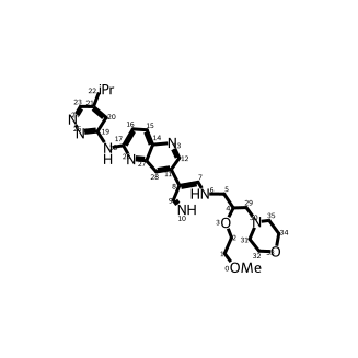 COCCOC(CN/C=C(\C=N)c1cnc2ccc(Nc3cc(C(C)C)cnn3)nc2c1)CN1CCOCC1